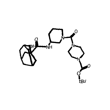 CC(C)(C)OC(=O)N1CCN(C(=O)N2CCC[C@H](NC(=O)C34CC5CC(C3)C(O)C(C5)C4)C2)CC1